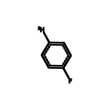 [2H]c1ccc(F)cc1